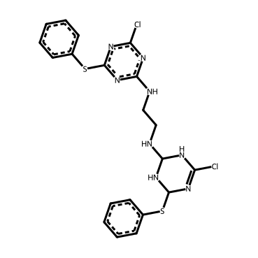 ClC1=NC(Sc2ccccc2)NC(NCCNc2nc(Cl)nc(Sc3ccccc3)n2)N1